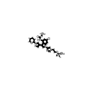 CC(C)(C)OC(=O)Nc1cc(Cl)cc2c1c(-c1cnn(C3CCCCO3)c1)cn2-c1cn(CCO[Si](C)(C)C(C)(C)C)nn1